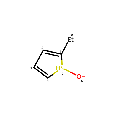 CCC1=CC=C[SH]1O